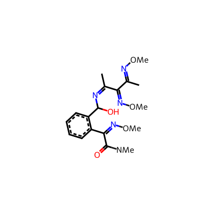 CNC(=O)C(=NOC)c1ccccc1C(O)N=C(C)C(=NOC)C(C)=NOC